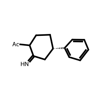 CC(=O)C1CC[C@H](c2ccccc2)CC1=N